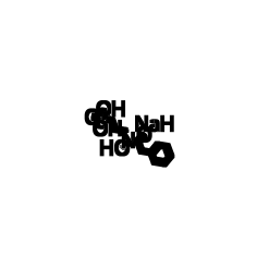 O=C(Cc1ccccc1)N(O)CCCP(=O)(O)O.[NaH]